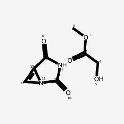 COC(=O)CO.O=c1[nH]c(=O)n2cc1-2